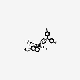 CC(=O)O[C@@H]1[C][C@@]2(O)C(C=C1C)CCC[C@]2(C)[C@@H](C)CN1CCN(C(c2ccc(F)cc2)c2ccc(F)cc2)CC1